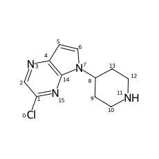 Clc1cnc2ccn(C3CCNCC3)c2n1